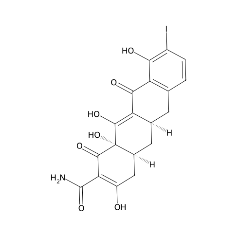 NC(=O)C1=C(O)C[C@@H]2C[C@@H]3Cc4ccc(I)c(O)c4C(=O)C3=C(O)[C@]2(O)C1=O